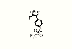 CCCC/C(F)=C(\F)c1ccc(OS(=O)(=O)C(F)(F)F)cc1